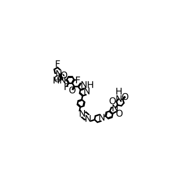 O=C1CCC(N2Cc3cc(N4CCC(CN5CCN(Cc6ccc(-c7cnc8[nH]cc(C(=O)c9c(F)ccc(NS(=O)(=O)N%10CC[C@@H](F)C%10)c9F)c8c7)cc6)CC5)CC4)ccc3C2=O)C(=O)N1